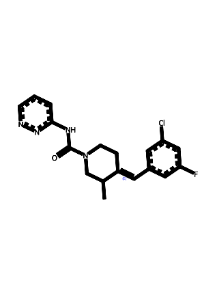 CC1CN(C(=O)Nc2cccnn2)CC/C1=C\c1cc(F)cc(Cl)c1